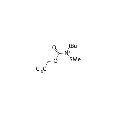 CS[N+](C(=O)OCC(Cl)(Cl)Cl)C(C)(C)C